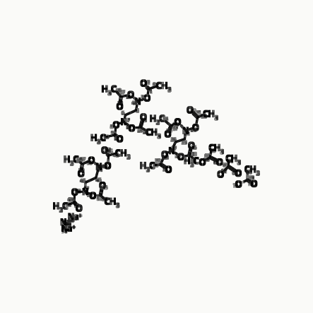 CC(=O)ON(CCN(OC(C)=O)OC(C)=O)OC(C)=O.CC(=O)ON(CCN(OC(C)=O)OC(C)=O)OC(C)=O.CC(=O)ON(CCN(OC(C)=O)OC(C)=O)OC(C)=O.CC(=O)[O-].CC(=O)[O-].CC(=O)[O-].[Na+].[Na+].[Na+]